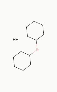 [B](C1CCCCC1)C1CCCCC1.[HH]